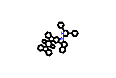 c1ccc(-c2cc(-c3ccccc3)nc(-n3c4cc5c(cc4c4c6ccccc6ccc43)C3(c4ccccc4-5)c4ccccc4C4(c5ccccc5-c5ccccc54)c4ccccc43)c2)cc1